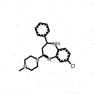 CN1CCN(C2=Nc3cc(Cl)ccc3NC(c3ccccc3)C2)CC1